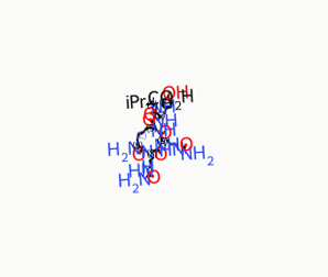 CC(C)C[C@H](NC(=O)[C@H](Cc1ccc(O)cc1)NC(=O)[C@@H]1C/C=C/C[C@H](N)C(=O)N[C@@H](CCCNC(N)=O)C(=O)N[C@@H](CCCNC(N)=O)C(=O)N1)C(=O)O